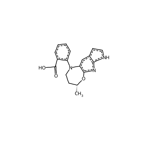 C[C@@H]1CCN(c2ccccc2C(=O)O)c2cc3cc[nH]c3nc2O1